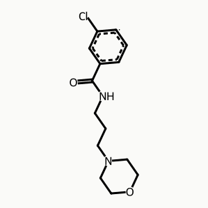 O=C(NCCCN1CCOCC1)c1cc[c]c(Cl)c1